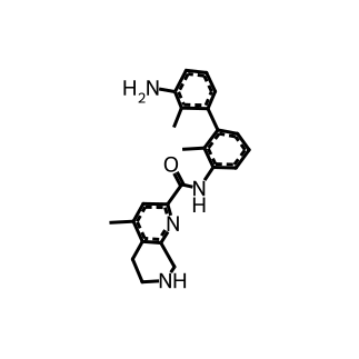 Cc1cc(C(=O)Nc2cccc(-c3cccc(N)c3C)c2C)nc2c1CCNC2